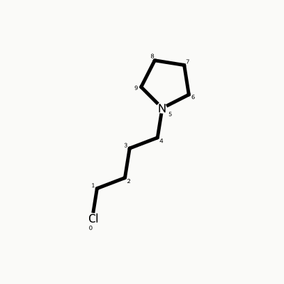 ClCCCCN1CCCC1